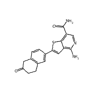 NC(=O)c1cnc(N)c2cc(-c3ccc4c(c3)CCC(=O)C4)sc12